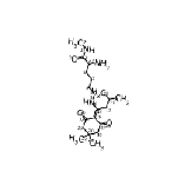 CNC(=O)C(N)CCCCNC(CC(C)C)=C1C(=O)CC(C)(C)CC1=O